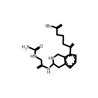 C=C(CNC(N)=O)NC1BCc2c(cccc2C(=C)CCCC(=C)C(C)(C)C)C1